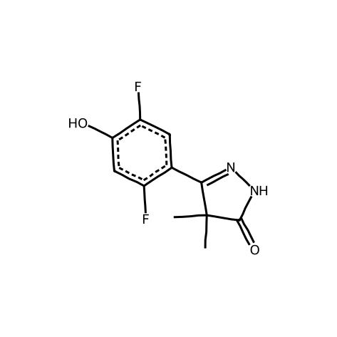 CC1(C)C(=O)NN=C1c1cc(F)c(O)cc1F